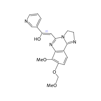 COCOc1ccc2c(c1OC)N=C(/C=C(\O)c1cccnc1)N1CCN=C21